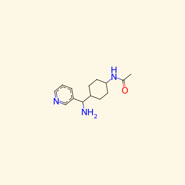 CC(=O)NC1CCC(C(N)c2cccnc2)CC1